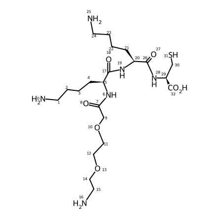 NCCCC[C@H](NC(=O)COCCOCCN)C(=O)N[C@@H](CCCCN)C(=O)N[C@@H](CS)C(=O)O